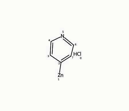 Cl.[Zn][c]1ccncc1